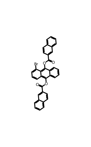 O=C(Oc1c2ccccc2c(OC(=O)c2ccc3ccccc3c2)c2c(Br)cccc12)c1ccc2ccccc2c1